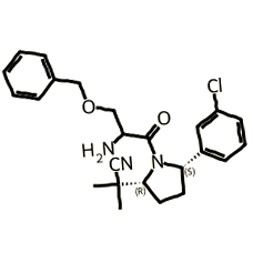 CC(C)(C#N)[C@H]1CC[C@@H](c2cccc(Cl)c2)N1C(=O)C(N)COCc1ccccc1